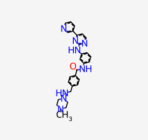 CN1CCN(NCc2ccc(C(=O)Nc3cccc(Nc4nccc(-c5cccnc5)n4)c3)cc2)CC1